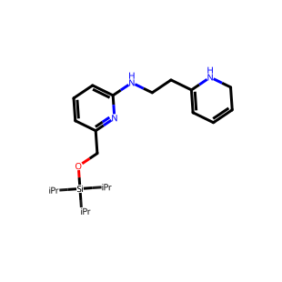 CC(C)[Si](OCc1cccc(NCCC2=CC=CCN2)n1)(C(C)C)C(C)C